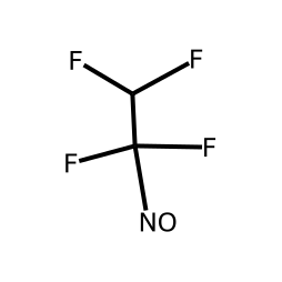 O=NC(F)(F)C(F)F